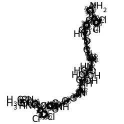 CC(C)(C)OC(=O)N[C@@H]1CCCN(C2Cc3c(Cl)cc(Cl)cc3[C@@H]2Oc2ccc(S(=O)(=O)NCCOCCOCCn3cc(CNC(=O)[C@@H](O)[C@H](O)[C@H](O)[C@@H](O)C(=O)NCc4cn(CCOCCOCCNS(=O)(=O)c5ccc(O[C@H]6c7cc(Cl)cc(Cl)c7C[C@@H]6N6CCC[C@@H](N)C6)cc5)nn4)nn3)cc2)C1